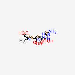 Cc1nc(SCC2=C(C(=O)O)N3C(=O)[C@@H](NC(=O)/C(=N\O)c4csc(N)n4)[C@H]3SC2)sc1CC(=O)O